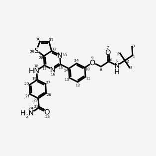 CCC(C)(C)NC(=O)COc1cccc(-c2nc(Nc3ccc(C(N)=O)cc3)c3sccc3n2)c1